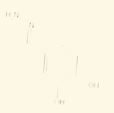 N/N=C/c1ccc(O)c(O)c1